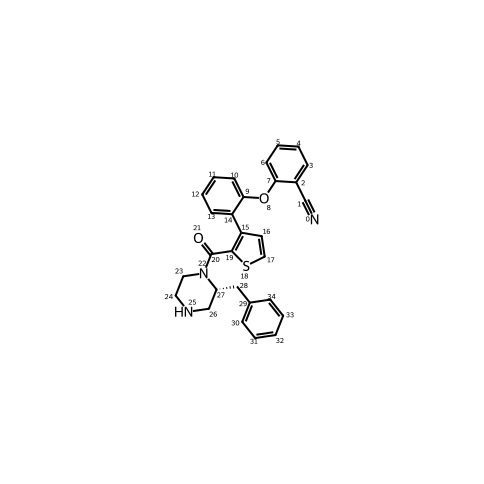 N#Cc1ccccc1Oc1ccccc1-c1ccsc1C(=O)N1CCNC[C@H]1Cc1ccccc1